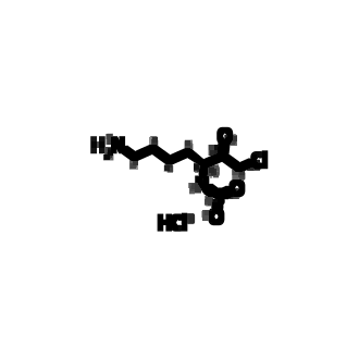 Cl.NCCCC[C@H](N=S(=O)=O)C(=O)CCl